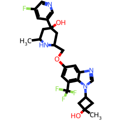 CC1CC(O)(c2cncc(F)c2)CC(COc2cc(C(F)(F)F)c3c(c2)ncn3C2CC(C)(O)C2)N1